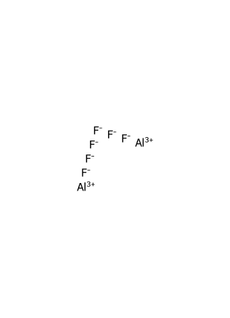 [Al+3].[Al+3].[F-].[F-].[F-].[F-].[F-].[F-]